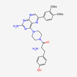 COc1ccc(-c2cnc3nc(N)nc(N4CCN(C(=O)[C@@H](N)Cc5ccc(O)cc5)CC4)c3n2)cc1OC